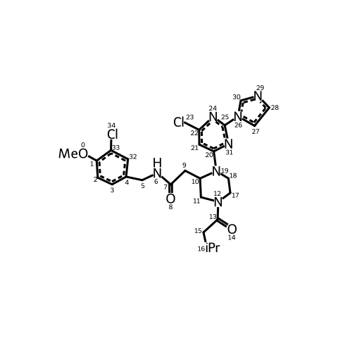 COc1ccc(CNC(=O)CC2CN(C(=O)CC(C)C)CCN2c2cc(Cl)nc(-n3ccnc3)n2)cc1Cl